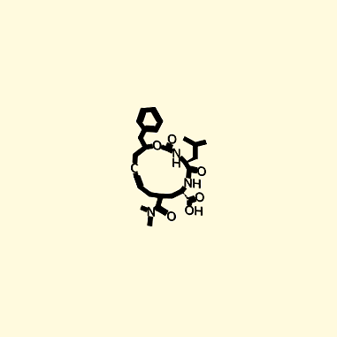 CC(C)C[C@@H]1NC(=O)OC(Cc2ccccc2)CCC=CCC(C(=O)N(C)C)C[C@@H](C(=O)O)NC1=O